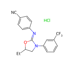 CCC1CN(c2cccc(C(F)(F)F)c2)C(=Nc2ccc(C#N)cc2)O1.Cl